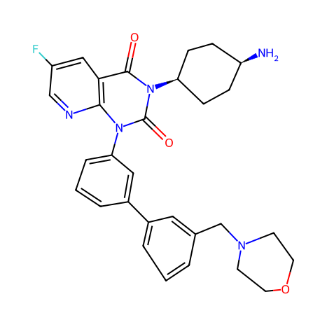 N[C@H]1CC[C@@H](n2c(=O)c3cc(F)cnc3n(-c3cccc(-c4cccc(CN5CCOCC5)c4)c3)c2=O)CC1